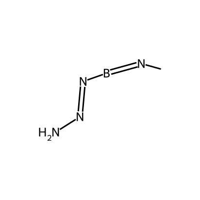 CN=BN=NN